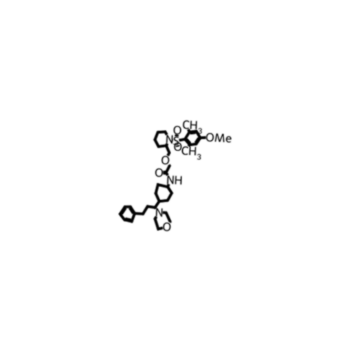 COc1cc(C)c(S(=O)(=O)N2CCCCC2COCC(=O)NC2CCC(C(CCc3ccccc3)N3CCOCC3)CC2)c(C)c1